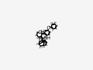 c1ccc(Oc2ccc3c(c2)[C@H]2OCCC[C@H]2[C@@H](C24CC5CC(CC(C5)C2)C4)N3)cc1